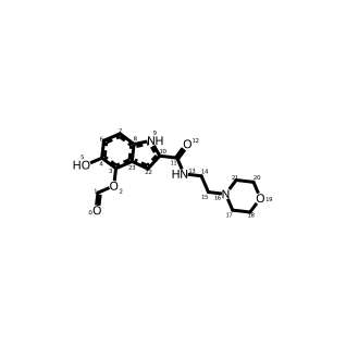 O=COc1c(O)ccc2[nH]c(C(=O)NCCN3CCOCC3)cc12